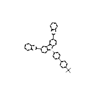 CC(C)(C)c1ccc(-c2ccc(-n3c4ccc(-c5nc6ccccc6o5)cc4c4cc(-c5nc6ccccc6o5)ccc43)cc2)cc1